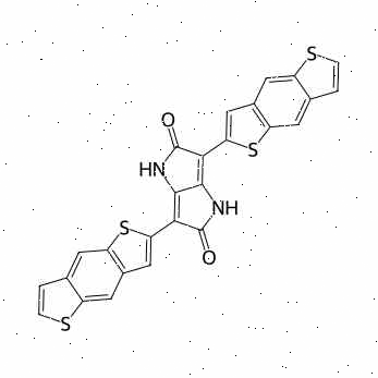 O=C1NC2=C(c3cc4cc5sccc5cc4s3)C(=O)NC2=C1c1cc2cc3sccc3cc2s1